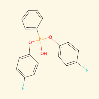 O[PH](Oc1ccc(F)cc1)(Oc1ccc(F)cc1)c1ccccc1